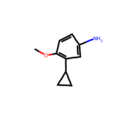 COc1ccc(N)cc1C1CC1